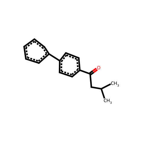 CC(C)CC(=O)c1ccc(-c2ccccc2)cc1